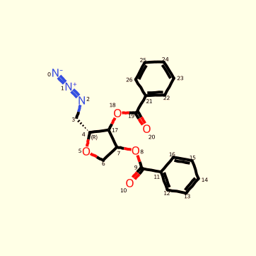 [N-]=[N+]=NC[C@H]1OCC(OC(=O)c2ccccc2)C1OC(=O)c1ccccc1